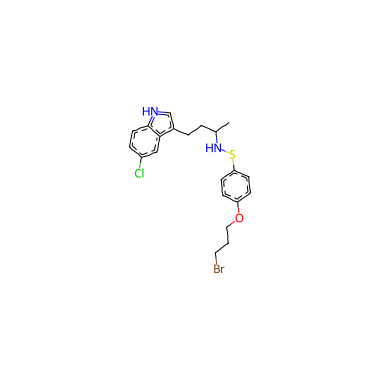 CC(CCc1c[nH]c2ccc(Cl)cc12)NSc1ccc(OCCCBr)cc1